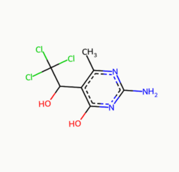 Cc1nc(N)nc(O)c1C(O)C(Cl)(Cl)Cl